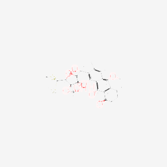 COc1c2c(c(O)c3c4c(c(C)cc13)C1OC3(C(SC)SC)OC1[C@@](O)(O4)[C@@]31CO1)C(=O)CCC2